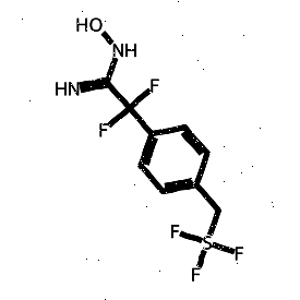 N=C(NO)C(F)(F)c1ccc(CS(F)(F)F)cc1